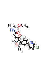 COCC(C)NC(=O)CC1CC(=O)C(c2c(C)cc(-c3ccc(Cl)cn3)cc2C)C1=O